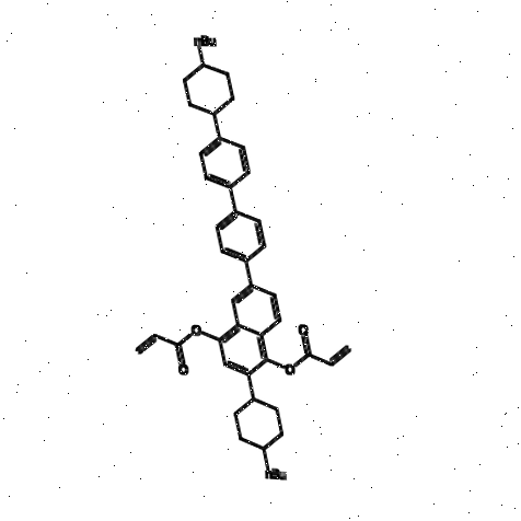 C=CC(=O)Oc1cc(C2CCC(CCCC)CC2)c(OC(=O)C=C)c2ccc(-c3ccc(-c4ccc(C5CCC(CCCC)CC5)cc4)cc3)cc12